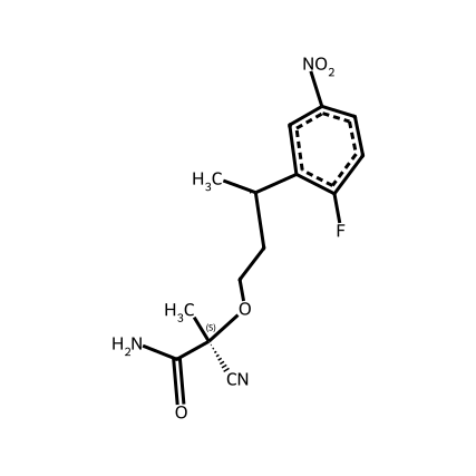 C[C](CCO[C@@](C)(C#N)C(N)=O)c1cc([N+](=O)[O-])ccc1F